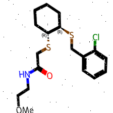 COCCNC(=O)CS[C@@H]1CCCC[C@H]1SCc1ccccc1Cl